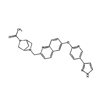 CC(=O)N1CC2CC1CN2Cc1ccc2cc(Oc3ccc(-c4cc[nH]n4)cn3)ccc2n1